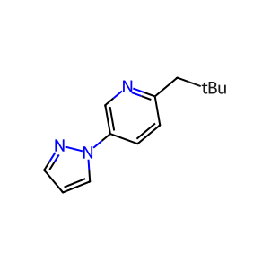 CC(C)(C)Cc1ccc(-n2cccn2)cn1